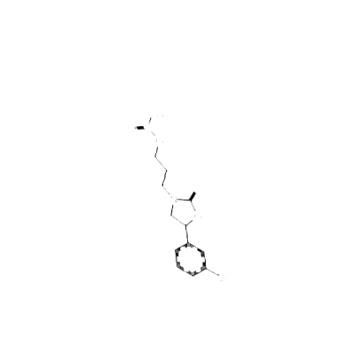 CS(=O)OCCCN1CC(c2cccc(Br)c2)OC1=O